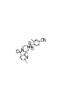 Cc1ccc2c(n1)C1(C)CN(S(=O)(=O)c3ccc(C#N)cc3C)CCN1C2=O